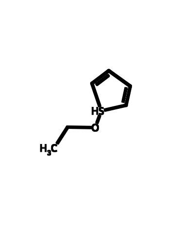 CCO[SH]1C=CC=C1